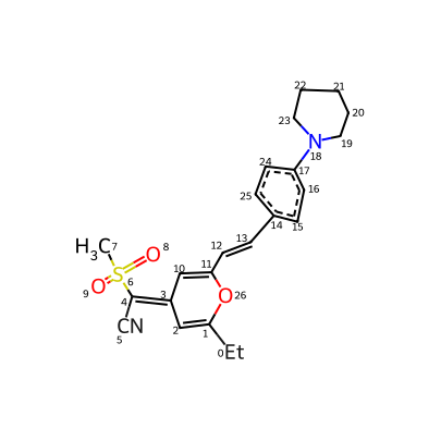 CCC1=C/C(=C(\C#N)S(C)(=O)=O)C=C(C=Cc2ccc(N3CCCCC3)cc2)O1